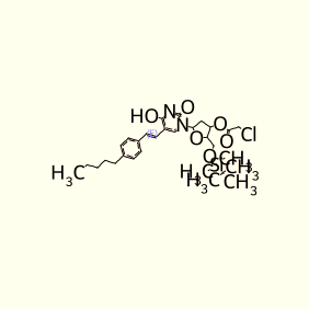 CCCCCc1ccc(/C=C/c2cn(C3CC(OC(=O)CCl)C(CO[Si](C)(C)C(C)(C)C)O3)c(=O)nc2O)cc1